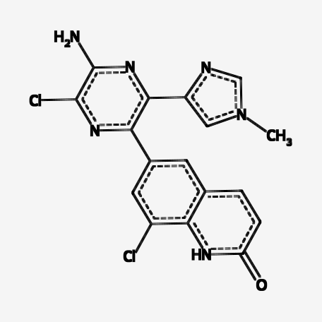 Cn1cnc(-c2nc(N)c(Cl)nc2-c2cc(Cl)c3[nH]c(=O)ccc3c2)c1